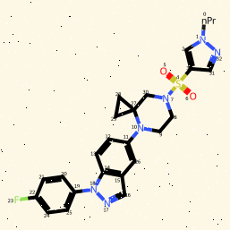 CCCn1cc(S(=O)(=O)N2CCN(c3ccc4c(cnn4-c4ccc(F)cc4)c3)C3(CC3)C2)cn1